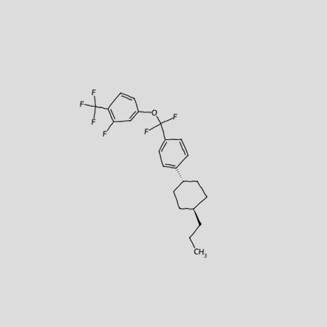 CCC[C@H]1CC[C@H](c2ccc(C(F)(F)Oc3ccc(C(F)(F)F)c(F)c3)cc2)CC1